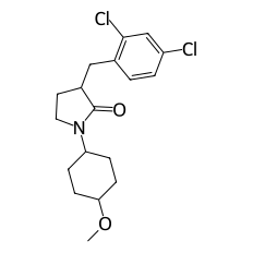 COC1CCC(N2CCC(Cc3ccc(Cl)cc3Cl)C2=O)CC1